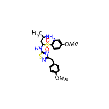 COc1ccc(Cc2nsc(NC(CC(C)N)S(=O)(=O)c3ccc(OC)cc3)n2)cc1